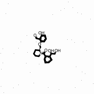 O=Cc1c(O)cccc1OC[C@@H]1CCCCN1C(=O)c1ccccc1C(O)CO